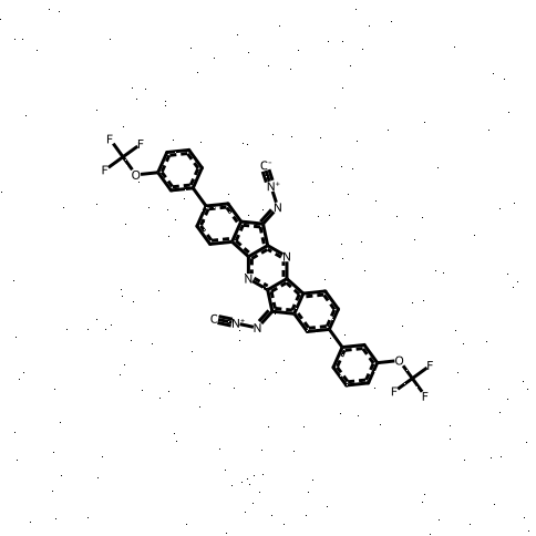 [C-]#[N+]/N=c1/c2cc(-c3cccc(OC(F)(F)F)c3)ccc2c2nc3/c(=N/[N+]#[C-])c4cc(-c5cccc(OC(F)(F)F)c5)ccc4c3nc12